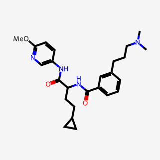 COc1ccc(NC(=O)C(CCC2CC2)NC(=O)c2cccc(CCCN(C)C)c2)cn1